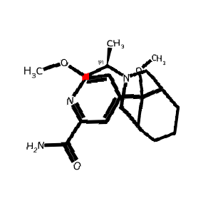 COC[C@@H](C)N1CC2CCCC(C1)C2(OC)c1ccnc(C(N)=O)c1